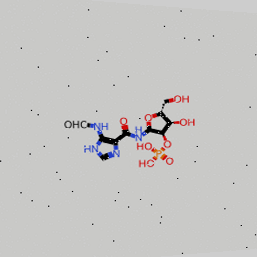 O=CNc1[nH]cnc1C(=O)NC1O[C@H](CO)[C@@H](O)[C@H]1OP(=O)(O)O